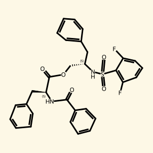 O=C(N[C@@H](Cc1ccccc1)C(=O)OC[C@H](Cc1ccccc1)NS(=O)(=O)c1c(F)cccc1F)c1ccccc1